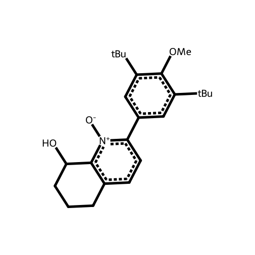 COc1c(C(C)(C)C)cc(-c2ccc3c([n+]2[O-])C(O)CCC3)cc1C(C)(C)C